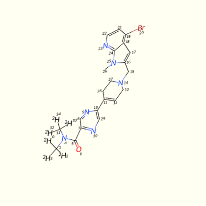 [2H]C([2H])([2H])N(C(=O)c1cnc(C2=CCN(Cc3cc4c(Br)ccnc4n3C)CC2)cn1)C([2H])([2H])[2H]